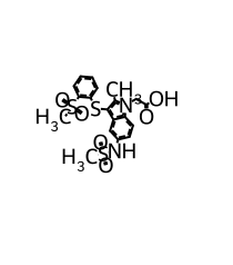 Cc1c(Sc2ccccc2S(C)(=O)=O)c2cc(NS(C)(=O)=O)ccc2n1CC(=O)O